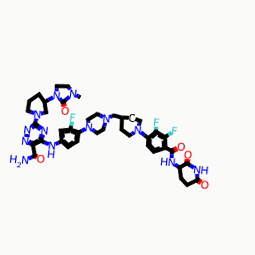 CN1CCN(C2CCCN(c3nnc(C(N)=O)c(Nc4ccc(N5CCN(CC6CCN(c7ccc(C(=O)NC8CCC(=O)NC8=O)c(F)c7F)CC6)CC5)c(F)c4)n3)C2)C1=O